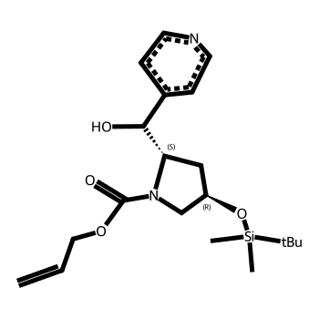 C=CCOC(=O)N1C[C@H](O[Si](C)(C)C(C)(C)C)C[C@H]1C(O)c1ccncc1